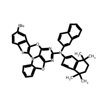 CC(C)(C)c1ccc2sc3c(c2c1)Oc1nc(N(c2ccc4c(c2)C(C)(C)CCC4(C)C)c2ccc4ccccc4c2)nc2c1B3c1ccccc1O2